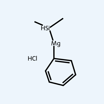 C[SiH](C)[Mg][c]1ccccc1.Cl